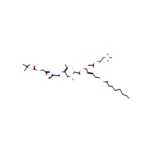 C/C=C(\NC(=O)c1csc(CNC(=O)OC(C)(C)C)n1)C(=O)N(C)[C@@H](C)C(=O)O[C@H](/C=C/CCSC(=O)CCCCCCC)CC(=O)OCCS(C)(C)C